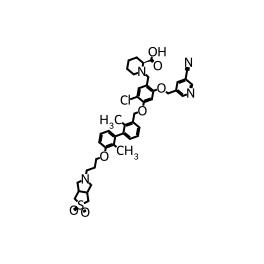 Cc1c(COc2cc(OCc3cncc(C#N)c3)c(CN3CCCC[C@H]3C(=O)O)cc2Cl)cccc1-c1cccc(OCCCN2CC3CS(=O)(=O)CC3C2)c1C